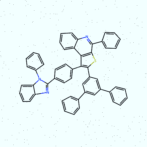 c1ccc(-c2cc(-c3ccccc3)cc(-c3sc4c(-c5ccccc5)nc5ccccc5c4c3-c3ccc(-c4nc5ccccc5n4-c4ccccc4)cc3)c2)cc1